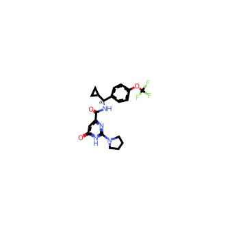 O=C(N[C@@H](c1ccc(OC(F)(F)F)cc1)C1CC1)c1cc(=O)[nH]c(N2CCCC2)n1